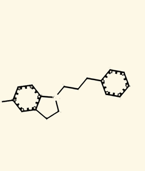 Oc1ccc2c(c1)CCN2CCCc1ccccc1